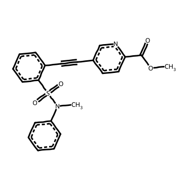 COC(=O)c1ccc(C#Cc2ccccc2S(=O)(=O)N(C)c2ccccc2)cn1